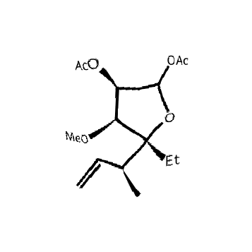 C=C[C@H](C)[C@@]1(CC)OC(OC(C)=O)[C@H](OC(C)=O)[C@@H]1OC